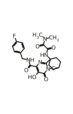 CN(C)C(=O)C(=O)NC12CCC(CC1)Cn1c2nc(C(=O)NCc2ccc(F)cc2)c(O)c1=O